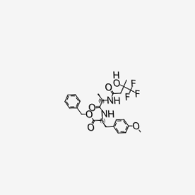 COc1ccc(C[C@H](NC(=O)[C@@H](C)NC(=O)CC(C)(O)C(F)(F)F)C(=O)OCc2ccccc2)cc1